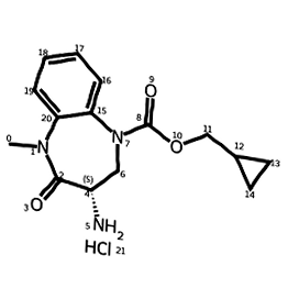 CN1C(=O)[C@@H](N)CN(C(=O)OCC2CC2)c2ccccc21.Cl